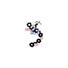 C=C1N[C@@H]([C@H](O)C2CCCCC2)C(=O)N(CCCC)C12CCN(Cc1ccc(Oc3ccc(C(=O)Cc4ccccc4)cc3)cc1)CC2